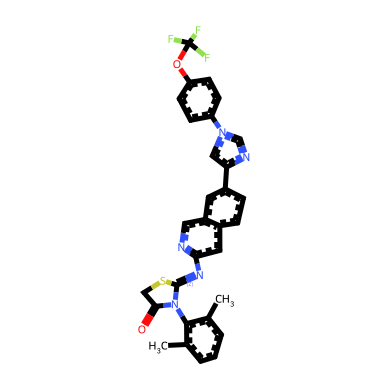 Cc1cccc(C)c1N1C(=O)CS/C1=N\c1cc2ccc(-c3cn(-c4ccc(OC(F)(F)F)cc4)cn3)cc2cn1